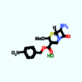 COC1S[C@@H]2C(N)C(=O)N2C=C1C(=O)OCc1ccc([N+](=O)[O-])cc1.Cl